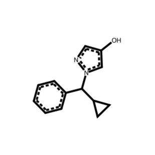 Oc1cnn(C(c2ccccc2)C2CC2)c1